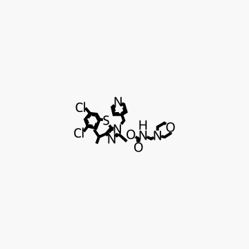 CC(C)c1nc(COC(=O)NCN2CCOCC2)n(Cc2ccncc2)c1Sc1cc(Cl)cc(Cl)c1